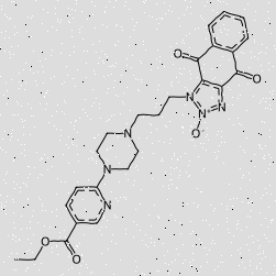 CCOC(=O)c1ccc(N2CCN(CCCn3c4c(n[n+]3[O-])C(=O)c3ccccc3C4=O)CC2)nc1